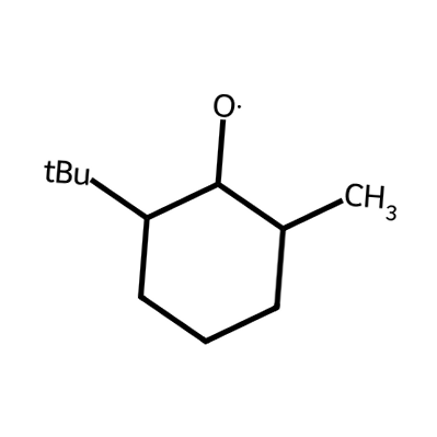 CC1CCCC(C(C)(C)C)C1[O]